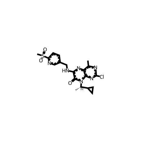 Cc1nc(Cl)nc2c1nc(NCc1ccc(S(C)(=O)=O)nc1)c(=O)n2[C@@H](C)C1CC1